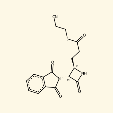 N#CCCSC(=O)CC[C@H]1NC(=O)[C@@H]1N1C(=O)c2ccccc2C1=O